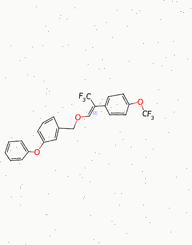 FC(F)(F)Oc1ccc(/C(=C/OCc2cccc(Oc3ccccc3)c2)C(F)(F)F)cc1